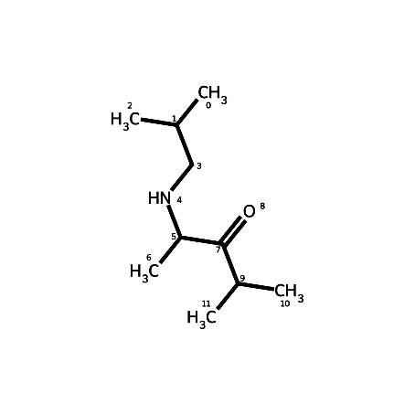 CC(C)CNC(C)C(=O)C(C)C